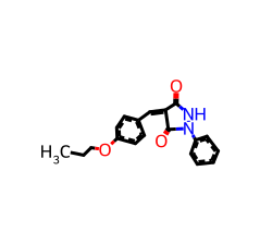 CCCOc1ccc(C=C2C(=O)NN(c3ccccc3)C2=O)cc1